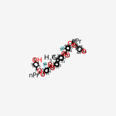 CCCC(OCC1CCC(O)CC1)Oc1ccc(C(=O)Oc2ccc3c(c2)C(C)c2cc(OC(=O)c4ccc(OC(CCC)OCC5CCC6OC6C5)cc4F)ccc2-3)c(F)c1